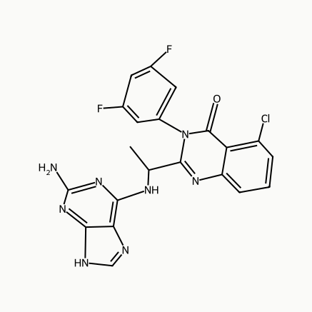 CC(Nc1nc(N)nc2[nH]cnc12)c1nc2cccc(Cl)c2c(=O)n1-c1cc(F)cc(F)c1